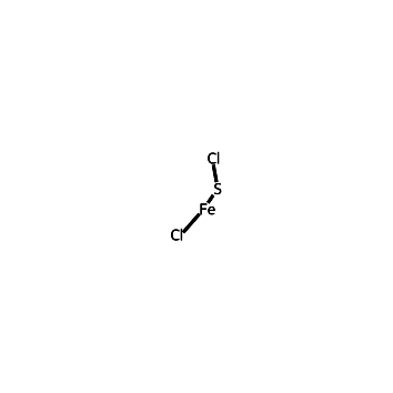 Cl[S][Fe][Cl]